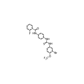 O=C(Nc1ccc(NC(=S)Nc2ccc(OC(F)(F)F)c(Br)c2)cc1)c1ccccc1F